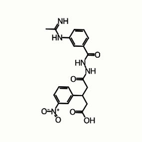 CC(=N)Nc1cccc(C(=O)NNC(=O)CC(CC(=O)O)c2cccc([N+](=O)[O-])c2)c1